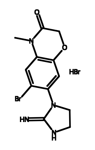 Br.CN1C(=O)COc2cc(N3CCNC3=N)c(Br)cc21